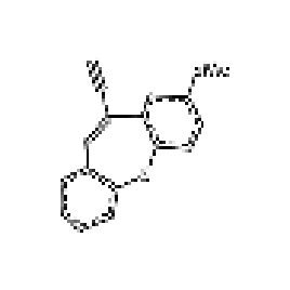 C#CC1=Cc2ccccc2Sc2ccc(SC)cc21